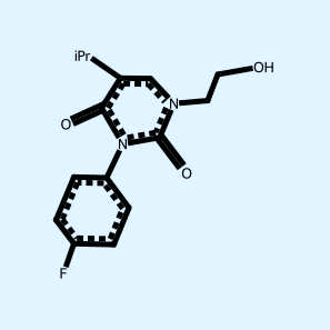 CC(C)c1cn(CCO)c(=O)n(-c2ccc(F)cc2)c1=O